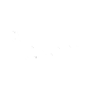 CC(C)(C)N1CCN(c2ccc(-c3nc4c(OC(N)=O)cccc4[nH]3)cn2)CC1